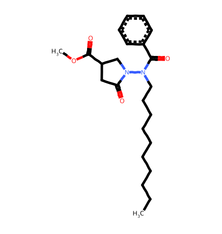 CCCCCCCCCCN(C(=O)c1ccccc1)N1CC(C(=O)OC)CC1=O